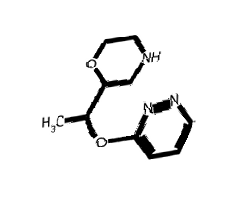 CC(Oc1cc[c]nn1)C1CNCCO1